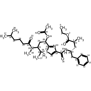 CCOC(=O)[C@@H](C)C[C@H](Cc1ccccc1)NC(=O)c1csc([C@@H](CC(C(C)C)N(C)C(=O)CCCC(C)C)OC(C)=O)n1